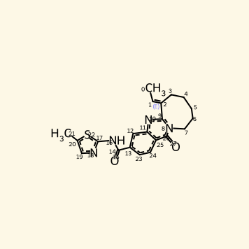 C/C=C1\CCCCCn2c1nc1cc(C(=O)Nc3ncc(C)s3)ccc1c2=O